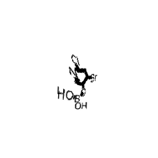 OB(O)Oc1cnc(Cl)cc1Br